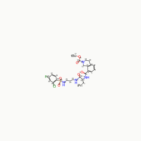 CC(C)C[C@H](NC(=O)c1cccc2c1CN(C(=O)OC(C)(C)C)CC2)C(=O)NCCCNS(=O)(=O)c1ccc(F)cc1Cl